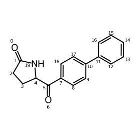 O=C1CCC(C(=O)c2ccc(-c3ccccc3)cc2)N1